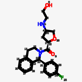 O=C([C@@H]1C[C@@H](NCCO)CO1)N1CCc2ccccc2[C@@H]1c1ccc(F)cc1